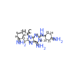 CCn1c(Cc2ccccc2N)nc2c(N)nc(NC3CCC(N)CC3)nc21